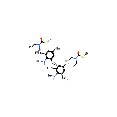 CCC(C)Nc1c([N+](=O)[O-])cc(C(C)(C)C)cc1[N+](=O)[O-].CCC(C)Nc1c([N+](=O)[O-])cc(C(C)(C)C)cc1[N+](=O)[O-].CCSC(=O)N(CC(C)C)CC(C)C.CCSC(=O)N(CC(C)C)CC(C)C